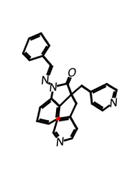 O=C1N(/N=C/c2ccccc2)c2ccccc2C1(Cc1ccncc1)Cc1ccncc1